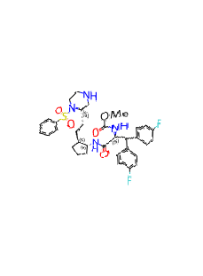 COC(=O)N[C@H](C(=O)N[C@@H]1CCC[C@H]1CC[C@H]1CNCCN1S(=O)(=O)c1ccccc1)C(c1ccc(F)cc1)c1ccc(F)cc1